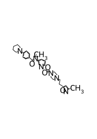 Cc1cc(CCN2CCN(C(=O)Oc3ccc(N(C)C(=O)c4ccc(N5CCCCC5)cc4)cn3)CC2)on1